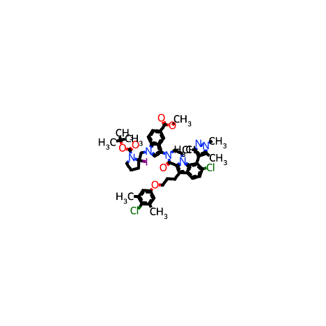 COC(=O)c1ccc2c(c1)c(N1CC(C)n3c(c(CCCOc4cc(C)c(Cl)c(C)c4)c4ccc(Cl)c(-c5c(C)nn(C)c5C)c43)C1=O)cn2CC1(I)CCCN1C(=O)OC(C)(C)C